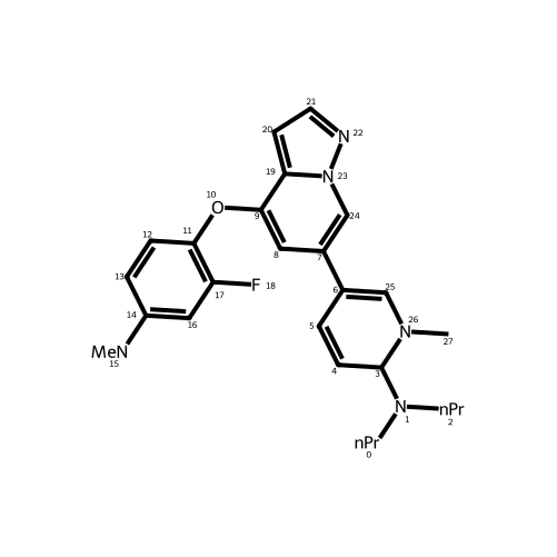 CCCN(CCC)C1C=CC(c2cc(Oc3ccc(NC)cc3F)c3ccnn3c2)=CN1C